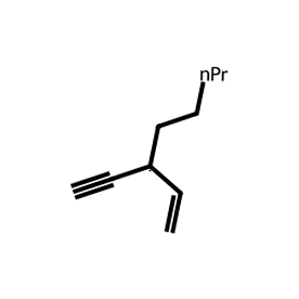 C#C[C](C=C)CCCCC